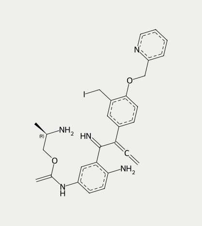 C=C=C(C(=N)c1cc(NC(=C)OC[C@@H](C)N)ccc1N)c1ccc(OCc2ccccn2)c(CI)c1